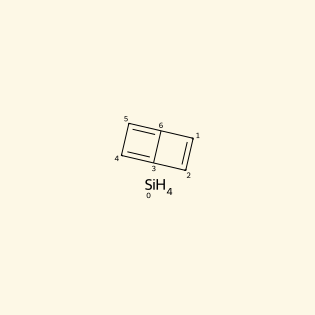 [SiH4].c1cc2ccc1-2